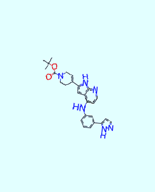 CC(C)(C)OC(=O)N1CC=C(c2cc3c(Nc4cccc(-c5ccn[nH]5)c4)ccnc3[nH]2)CC1